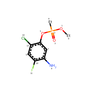 CCOP(=O)(CC)Oc1cc(N)c(F)cc1Cl